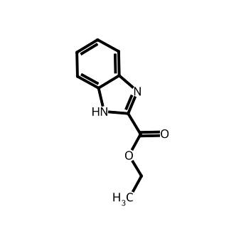 CCOC(=O)c1nc2ccccc2[nH]1